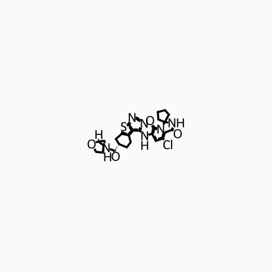 O=C1NC2(CCCC2)n2c1c(Cl)cc(Nc1ncnc3sc4c(c13)CC[C@H](C(=O)N1C[C@H]3C[C@@H]1CO3)C4)c2=O